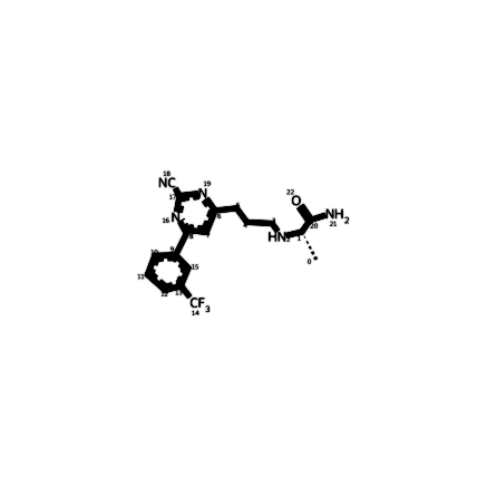 C[C@H](NCCCc1cc(-c2cccc(C(F)(F)F)c2)nc(C#N)n1)C(N)=O